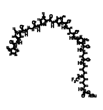 Cn1cc(NC(=O)c2nc(NC(=O)CCNC(=O)c3cc(NC(=O)c4nccn4C)cn3C)cn2C)cc1C(=O)NCCC(=O)Nc1cn(C)c(C(=O)NCCC(=O)NCCCN(CCCNC(=O)OC(C)(C)C)CC(F)(F)F)n1